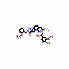 COc1ccccc1CNC(=O)c1cc2cc(C[C@@H](C)NC[C@@H](O)c3ccc(O)c(CO)c3)ccc2[nH]1